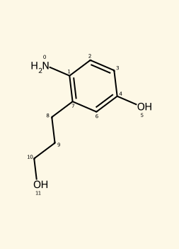 Nc1ccc(O)cc1CCCO